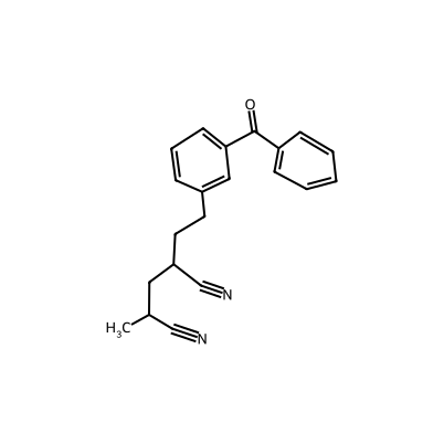 CC(C#N)CC(C#N)CCc1cccc(C(=O)c2ccccc2)c1